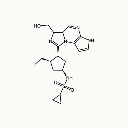 CC[C@@H]1C[C@H](NS(=O)(=O)C2CC2)C[C@@H]1c1nc(CO)c2cnc3[nH]ccc3n12